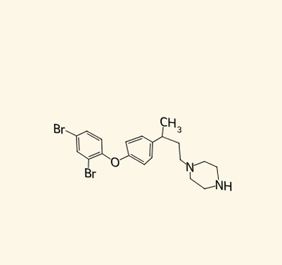 CC(CCN1CCNCC1)c1ccc(Oc2ccc(Br)cc2Br)cc1